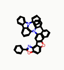 c1ccc(-c2nc3c(ccc4oc5ccc(N(c6ccccc6-c6ccccc6)c6cccc7c8ccccc8n(-c8ccccc8)c67)cc5c43)o2)cc1